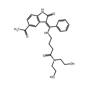 CC(=O)c1ccc2c(c1)C(=C(NCCCC(=O)N(CCO)CCO)c1ccccc1)C(=O)N2